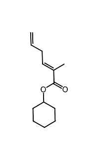 C=CCC=C(C)C(=O)OC1CCCCC1